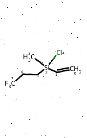 C=C[Si](C)(Cl)CCC(F)(F)F